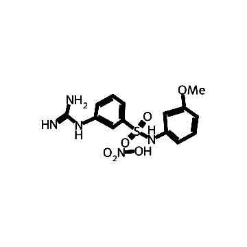 COc1cccc(NS(=O)(=O)c2cccc(NC(=N)N)c2)c1.O=[N+]([O-])O